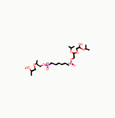 CC(O)COC(C)CO[PH](=O)CCCCCC[PH](=O)OCC(OCC(O)OC(C)C)OC(C)C